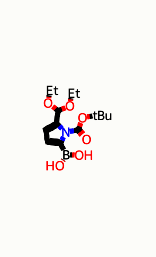 CCOC(OCC)c1ccc(B(O)O)n1C(=O)OC(C)(C)C